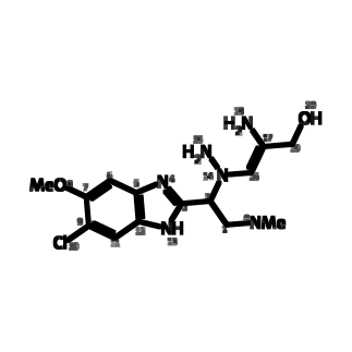 CNCC(c1nc2cc(OC)c(Cl)cc2[nH]1)N(N)/C=C(\N)CO